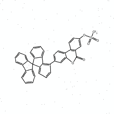 O=c1oc2cc(-c3cccc4c3-c3ccccc3C43c4ccccc4-c4ccccc43)ccc2c2ccc(OS(=O)(=O)C(F)(F)F)cc12